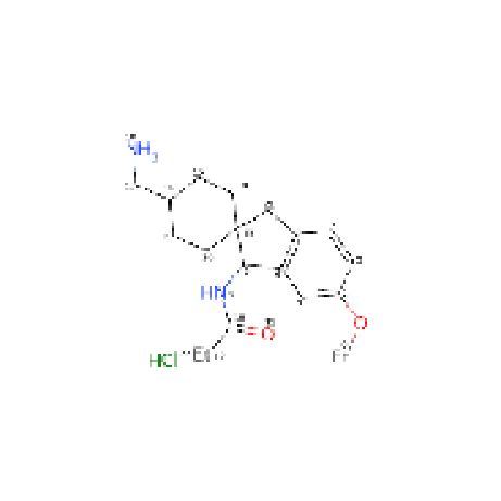 CCOc1ccc2c(c1)C(NC(=O)CC)C1(CCC(CN)CC1)C2.Cl